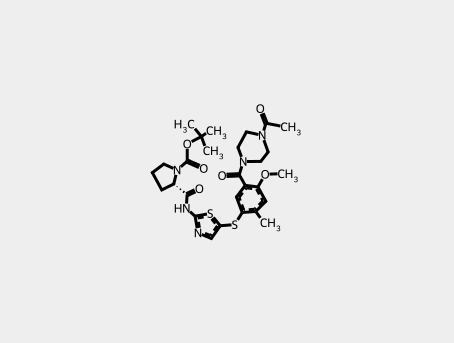 COc1cc(C)c(Sc2cnc(NC(=O)[C@@H]3CCCN3C(=O)OC(C)(C)C)s2)cc1C(=O)N1CCN(C(C)=O)CC1